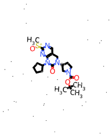 C[S+]([O-])c1ncc2c(n1)N(C1CCCC1)C(=O)N([C@@H]1CCN(C(=O)OC(C)(C)C)C1)C2